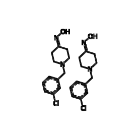 ON=C1CCN(Cc2cccc(Cl)c2)CC1.ON=C1CCN(Cc2cccc(Cl)c2)CC1